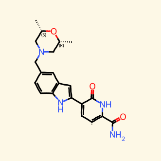 C[C@@H]1CN(Cc2ccc3[nH]c(-c4c[c]c(C(N)=O)[nH]c4=O)cc3c2)C[C@H](C)O1